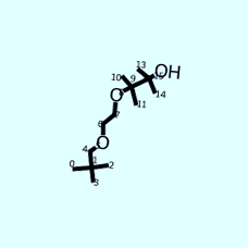 CC(C)(C)COCCOC(C)(C)C(C)(C)O